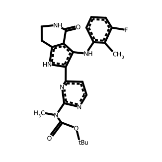 Cc1c(F)cccc1Nc1c(-c2ccnc(N(C)C(=O)OC(C)(C)C)n2)[nH]c2c1C(=O)NCC2